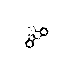 NCc1ccccc1Sc1csc2ccccc12